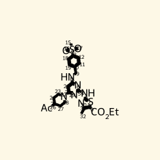 CCOC(=O)c1sc(Nc2nc(NCc3ccc(S(C)(=O)=O)cc3)cc(N3CCC(C(C)=O)CC3)n2)nc1C